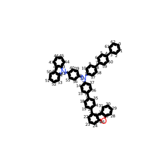 c1ccc(-c2ccc(-c3ccc(N(c4ccc(-c5ccc(-c6cccc7oc8ccccc8c67)cc5)cc4)c4ccc(-n5c6ccccc6c6ccccc65)cc4)cc3)cc2)cc1